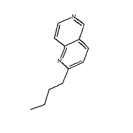 CCCCc1ccc2cnccc2n1